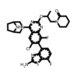 CC(CN1CCCCC1=O)Oc1nc(N2CC3CCC(C2)N3)c2cc(Cl)c(-c3ccc(F)c4sc(N)nc34)c(F)c2n1